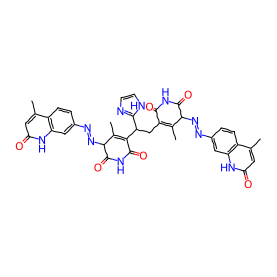 CC1=C(CC(C2=C(C)C(N=Nc3ccc4c(C)cc(=O)[nH]c4c3)C(=O)NC2=O)c2ncc[nH]2)C(=O)NC(=O)C1N=Nc1ccc2c(C)cc(=O)[nH]c2c1